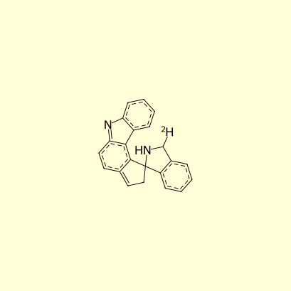 [2H]C1NC2(CC=c3ccc4c(c32)-c2ccccc2N=4)c2ccccc21